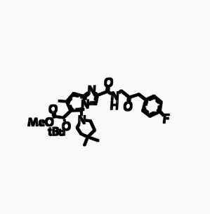 COC(=O)[C@@H](OC(C)(C)C)c1c(C)cc2nc(C(=O)NCC(=O)Cc3ccc(F)cc3)cn2c1N1CCC(C)(C)CC1